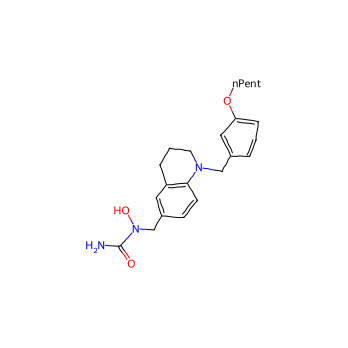 CCCCCOc1cccc(CN2CCCc3cc(CN(O)C(N)=O)ccc32)c1